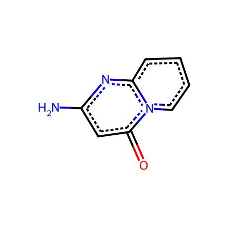 Nc1cc(=O)n2ccccc2n1